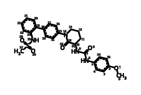 COc1ccc(NC(=O)N[C@@H]2CCCN(c3ccc(-c4ccccc4NS(C)(=O)=O)cc3)C2=O)cc1